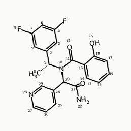 C[C@H](c1cc(F)cc(F)c1)N(C(=O)c1ccccc1O)[C@@H](C(N)=O)c1cccnc1